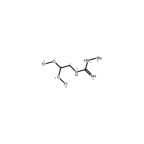 CCOC(CNC(=N)NC(C)(C)C)OCC